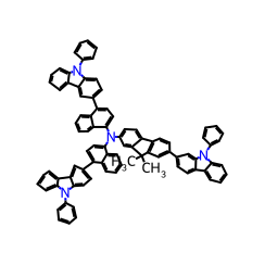 CC1(C)c2cc(-c3ccc4c5ccccc5n(-c5ccccc5)c4c3)ccc2-c2ccc(N(c3ccc(-c4ccc5c(c4)c4ccccc4n5-c4ccccc4)c4ccccc34)c3ccc(-c4ccc5c(c4)c4ccccc4n5-c4ccccc4)c4ccccc34)cc21